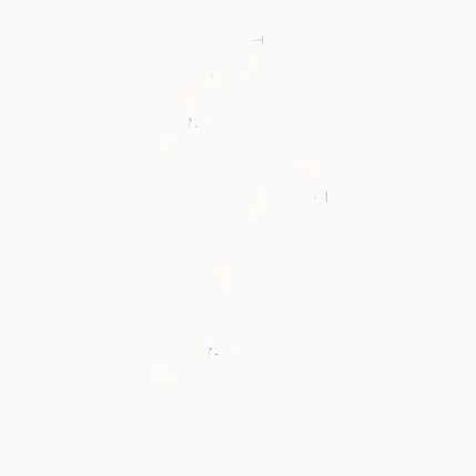 COC(=O)C1C=C(OC)C(OCCOCCNC(=O)C(F)(F)F)=CC1[N+](=O)[O-]